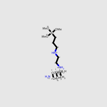 CC(=O)O.CC(=O)O.CC(=O)O.CO[Si](CCCNCCN)(OC)OC.N